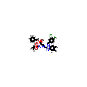 Cc1cc2nc(CCC(NC(=O)OC(C)(C)C)C(=O)OCc3ccccc3)n(Cc3ccc(F)c(F)c3)c2cc1C